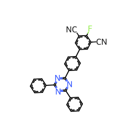 N#Cc1cc(-c2ccc(-c3nc(-c4ccccc4)nc(-c4ccccc4)n3)cc2)cc(C#N)c1F